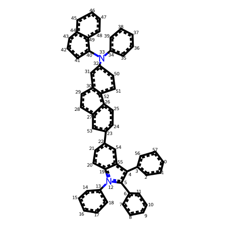 c1ccc(-c2c(-c3ccccc3)n(-c3ccccc3)c3ccc(-c4ccc5c(ccc6cc(N(c7ccccc7)c7cccc8ccccc78)ccc65)c4)cc23)cc1